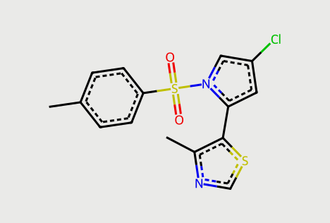 Cc1ccc(S(=O)(=O)n2cc(Cl)cc2-c2scnc2C)cc1